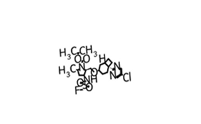 CC(C)OC(=O)N1[C@H](C)C[C@H](NS(=O)(=O)CF)[C@@H]1CO[C@@H]1CC[C@]2(c3ncc(Cl)cn3)CC[C@@H]2C1